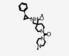 COCC1(CN[C@H]2C[C@H]2c2ccccc2)CCN(C(=O)N2CCN(C)CC2)CC1